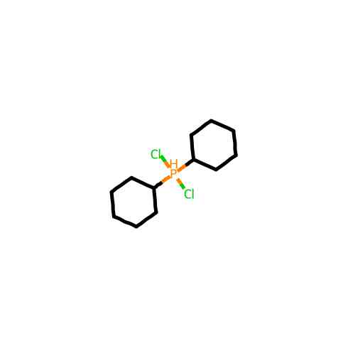 Cl[PH](Cl)(C1CCCCC1)C1CCCCC1